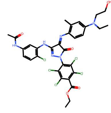 CCOC(=O)c1c(Cl)c(Cl)c(N2N=C(Nc3cc(NC(C)=O)ccc3Cl)/C(=N/c3ccc(N(CC)CCO)cc3C)C2=O)c(Cl)c1Cl